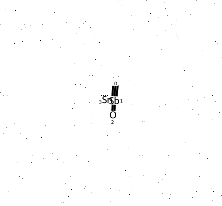 [C]#[Sb]=[O].[Sn]